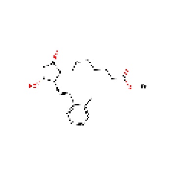 Cc1ccccc1/C=C/[C@H]1[C@H](O)CC(=O)[C@@H]1C/C=C\CCCC(=O)OC(C)C